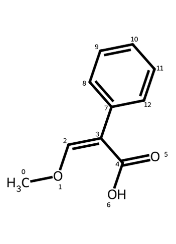 COC=C(C(=O)O)c1ccccc1